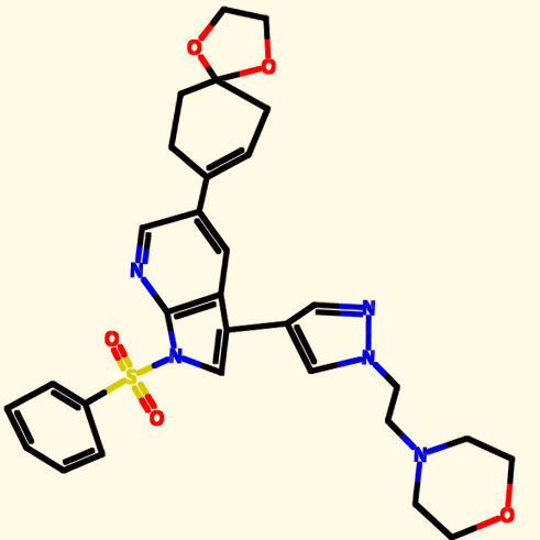 O=S(=O)(c1ccccc1)n1cc(-c2cnn(CCN3CCOCC3)c2)c2cc(C3=CCC4(CC3)OCCO4)cnc21